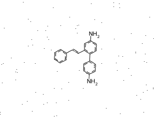 Nc1ccc(-c2ccc(N)cc2/C=C/c2ccccc2)cc1